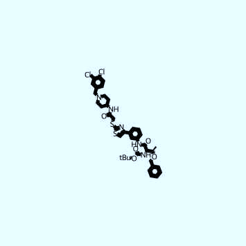 C[C@@H](OCc1ccccc1)[C@H](NC(=O)OC(C)(C)C)C(=O)Nc1cccc(-c2csc(SCC(=O)NC3CCN(Cc4ccc(Cl)c(Cl)c4)CC3)n2)c1